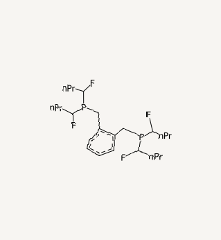 CCCC(F)P(Cc1ccccc1CP(C(F)CCC)C(F)CCC)C(F)CCC